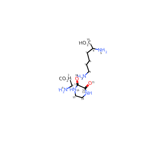 NCC(=O)O.NCCCCC(N)C(=O)O.O=C1NCCNC1=O